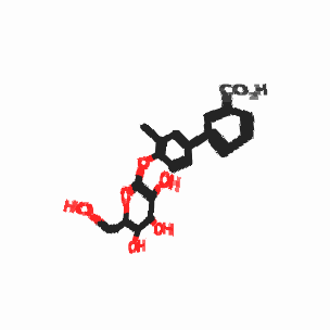 Cc1cc(-c2cccc(C(=O)O)c2)ccc1OC1OC(CO)C(O)C(O)C1O